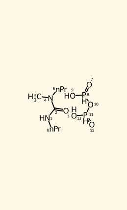 CCCNC(=O)N(C)CCC.O=[PH](O)O[PH](=O)O